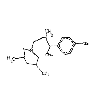 CC1CC(C)CN(CC(C)C(C)c2ccc(C(C)(C)C)cc2)C1